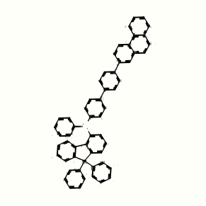 c1ccc(N(c2ccc(-c3ccc(-c4ccc5c(ccc6ccccc65)c4)cc3)cc2)c2cccc3c2-c2ccccc2C3(c2ccccc2)c2ccccc2)cc1